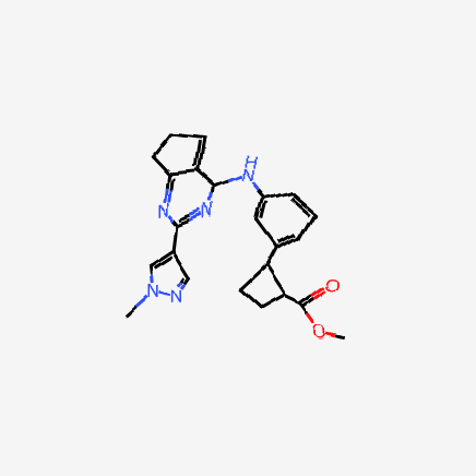 COC(=O)C1CCC1c1cccc(NC2N=C(c3cnn(C)c3)N=C3CCC=C32)c1